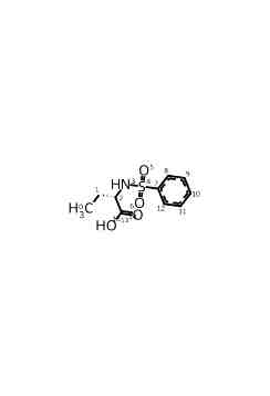 CC[C@H](NS(=O)(=O)c1ccccc1)C(=O)O